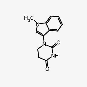 Cn1cc(N2CCC(=O)NC2=O)c2ccccc21